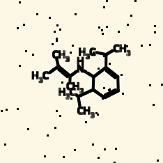 CC(C)=C(C)NC1C(C(C)C)=CC=CC1C(C)C